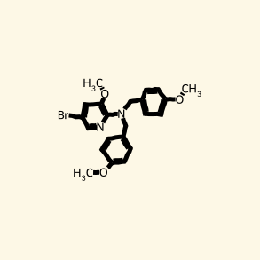 COc1ccc(CN(Cc2ccc(OC)cc2)c2ncc(Br)cc2OC)cc1